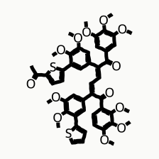 COc1cc(C(=O)C(=CC=C(C(=O)c2ccc(OC)c(OC)c2OC)c2cc(OC)c(OC)c(-c3cccs3)c2)c2cc(OC)c(OC)c(-c3ccc(C(C)=O)s3)c2)cc(OC)c1OC